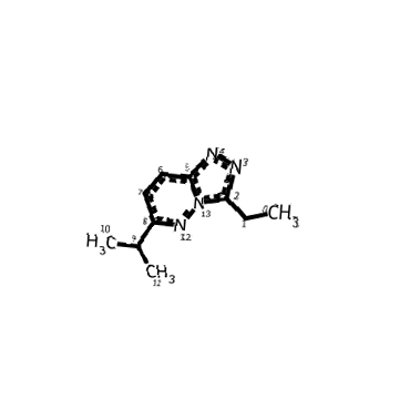 CCc1nnc2ccc(C(C)C)nn12